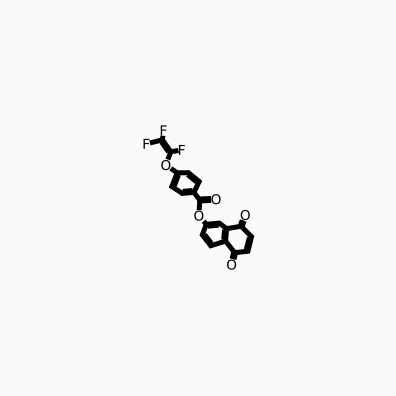 O=C(Oc1ccc2c(c1)C(=O)C=CC2=O)c1ccc(OC(F)=C(F)F)cc1